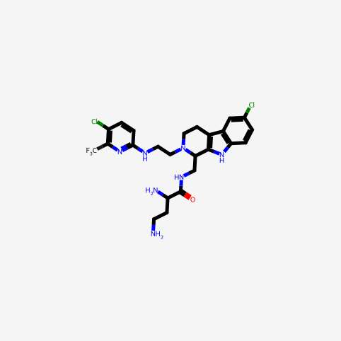 NCCC(N)C(=O)NCC1c2[nH]c3ccc(Cl)cc3c2CCN1CCNc1ccc(Cl)c(C(F)(F)F)n1